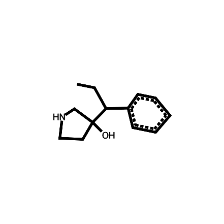 CCC(c1ccccc1)C1(O)CCNC1